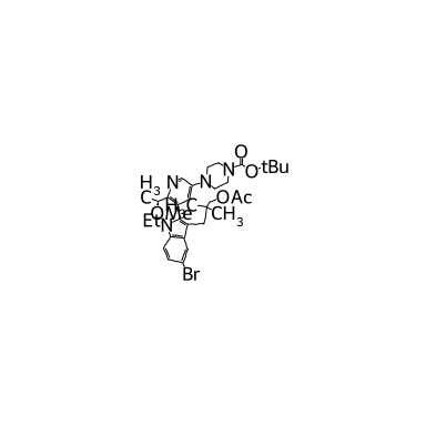 CCn1c(-c2cc(N3CCN(C(=O)OC(C)(C)C)CC3)cnc2[C@H](C)OC)c(CC(C)(C)COC(C)=O)c2cc(Br)ccc21